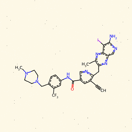 C#Cc1cc(C(=O)Nc2ccc(CN3CCN(C)CC3)c(C(F)(F)F)c2)cnc1Cc1nc2cnc(N)c(I)c2nc1C